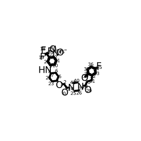 O=C(CO[C@H]1CC[C@H](Nc2ccc([N+](=O)[O-])c(C(F)(F)F)c2)CC1)N1CCN(C(=O)C2Cc3cc(F)ccc3O2)CC1